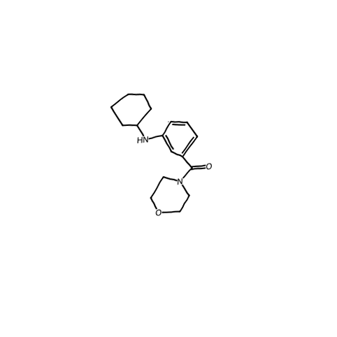 O=C(c1cc[c]c(NC2CCCCC2)c1)N1CCOCC1